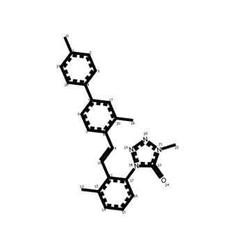 Cc1ccc(-c2ccc(/C=C/c3c(C)cccc3-n3nnn(C)c3=O)c(C)c2)cc1